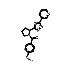 CCOc1ccc(C(=O)N2CCCC2c2nnc(-c3cccnc3)o2)cc1